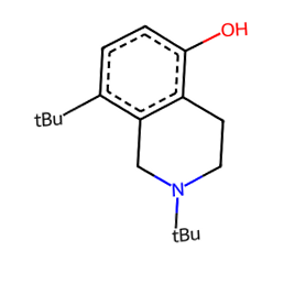 CC(C)(C)c1ccc(O)c2c1CN(C(C)(C)C)CC2